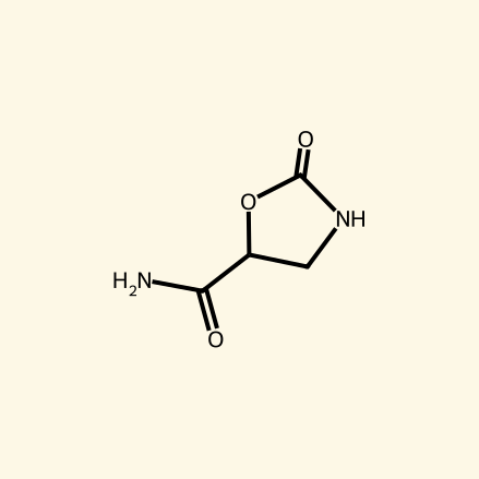 NC(=O)C1CNC(=O)O1